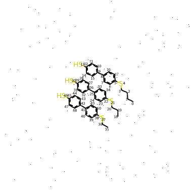 CCCCSc1ccc(-c2ccc(S)cc2)cc1.CCCSc1ccc(-c2ccc(S)cc2)cc1.CCSc1ccc(-c2ccc(S)cc2)cc1